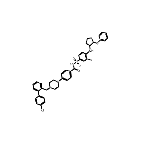 Cc1cc(S(=O)(=O)NC(=O)c2ccc(N3CCN(Cc4ccccc4-c4ccc(Cl)cc4)CC3)cc2)ccc1NC1CCCC1Sc1ccccc1